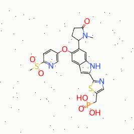 CN1C(=O)CCC1c1cc2[nH]c(-c3ncc(CP(=O)(O)O)s3)cc2cc1Oc1ccc(S(C)(=O)=O)nc1